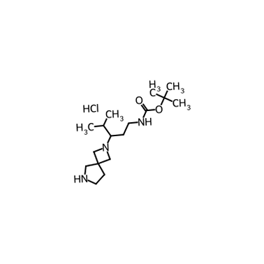 CC(C)C(CCNC(=O)OC(C)(C)C)N1CC2(CCNC2)C1.Cl